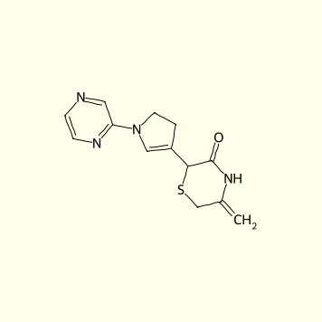 C=C1CSC(C2=CN(c3cnccn3)CC2)C(=O)N1